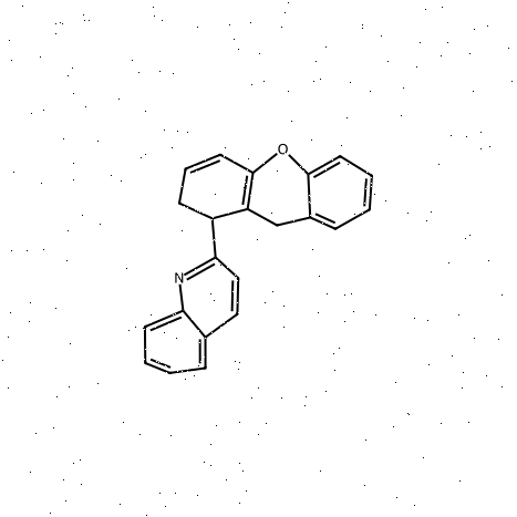 C1=CC2=C(Cc3ccccc3O2)C(c2ccc3ccccc3n2)C1